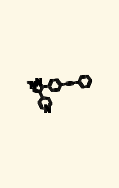 Cn1cc(-c2ccncc2)c(-c2ccc(C#Cc3ccccc3)cc2)n1